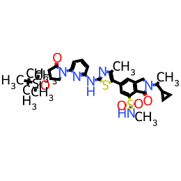 CNS(=O)(=O)c1cc(-c2sc(Nc3cccc(N4C[C@H](O[Si](C)(C)C(C)(C)C)CC4=O)n3)nc2C)cc2c1C(=O)N(C(C)C1CC1)C2